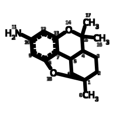 CC12CCC3C(C1)c1c(cc(N)cc1OC3(C)C)O2